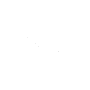 COc1ncc([C@]2(O)CC[C@H](N3CC(NC(=O)CNC(=O)c4cccc(C)c4)C3)CC2)s1